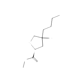 CCCCC1(O)CN[C@H](C(=O)OC)C1